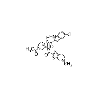 CC(=O)N1CC[C@H](NC(=O)c2cc3cc(Cl)ccc3[nH]2)[C@H](NC(=O)c2nc3c(s2)CN(C)CC3)C1